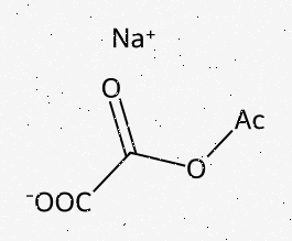 CC(=O)OC(=O)C(=O)[O-].[Na+]